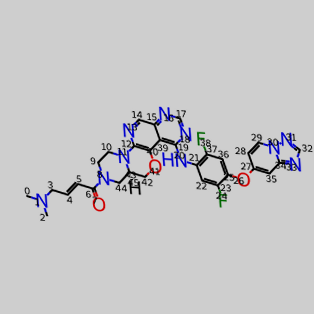 CN(C)C/C=C/C(=O)N1CCN2c3ncc4ncnc(Nc5cc(F)c(Oc6ccn7ncnc7c6)cc5F)c4c3OC[C@H]2C1